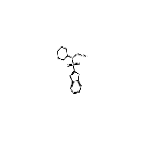 CCCCCCCCSN(C1CCCCC1)S(=O)(=O)c1nc2ccccc2s1